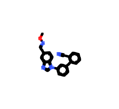 CON=Cc1ccc2c(c1)ncn2-c1cccc(-c2ccccc2C#N)c1